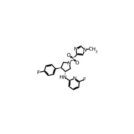 Cn1cnc(S(=O)(=O)N2C[C@H](Nc3cccc(F)n3)[C@@H](c3ccc(F)cc3)C2)c1